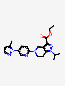 CCOC(=O)c1nn(C(C)C)c2c1CN(c1ccc(-n3nccc3C)cn1)CC2